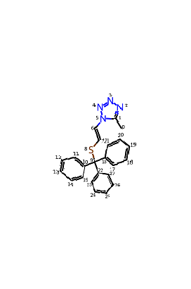 Cc1nnnn1C=CSC(c1ccccc1)(c1ccccc1)c1ccccc1